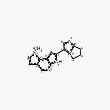 Cn1ncc2cnc3[nH]c(-c4cnc5n4CCC5)cc3c21